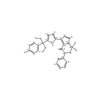 CCC(CC)(c1ccc(C)cc1)c1nnc(-c2cnn3c2NC(c2ccccc2)CC3(C)C)o1